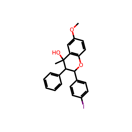 COc1ccc2c(c1)C(C)(O)C(c1ccccc1)C(c1ccc(I)cc1)O2